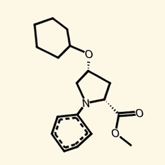 COC(=O)[C@H]1C[C@@H](OC2CCCCC2)CN1c1ccccc1